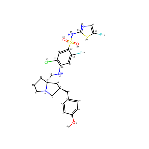 COc1ccc(C[C@H]2CN3CCC[C@@]3(CNc3cc(F)c(S(=O)(=O)Nc4ncc(F)s4)cc3Cl)C2)cc1